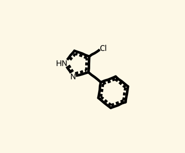 Clc1c[nH]nc1-c1ccccc1